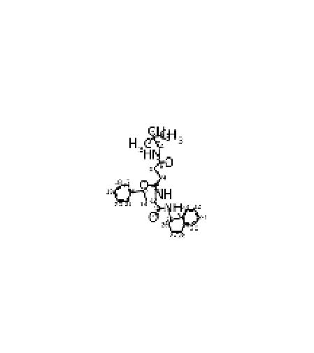 CC(C)(C)CNC(=O)CCC(=O)N[C@@H](CCc1ccccc1)C(=O)N[C@@H]1CCCc2ccccc21